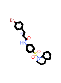 O=C(/C=C/c1ccc(Br)cc1)Nc1ccc(S(=O)(=O)N2CCCc3ccccc32)cc1